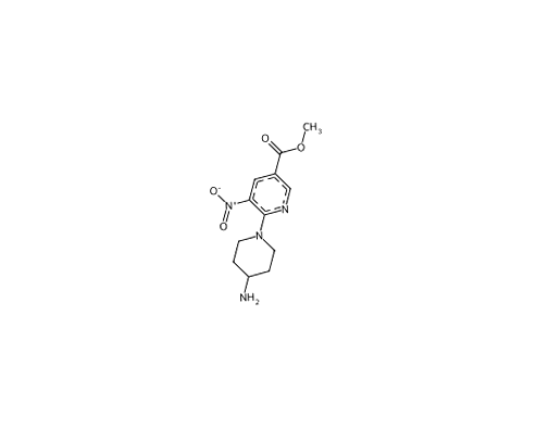 COC(=O)c1cnc(N2CCC(N)CC2)c([N+](=O)[O-])c1